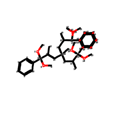 CO[Si](OC)(c1ccccc1)C(C)C[Si](C)(CC(C)[Si](OC)(OC)c1ccccc1)CC(C)[Si](OC)(OC)c1ccccc1